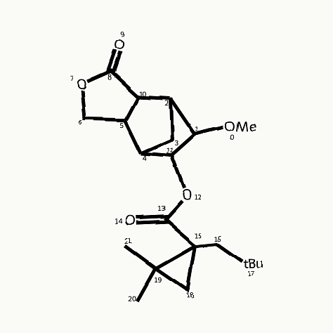 COC1C2CC(C3COC(=O)C32)C1OC(=O)C1(CC(C)(C)C)CC1(C)C